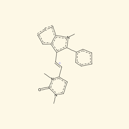 Cn1c(/C=C/c2c(-c3ccccc3)n(C)c3ccccc23)cc[n+](C)c1=O